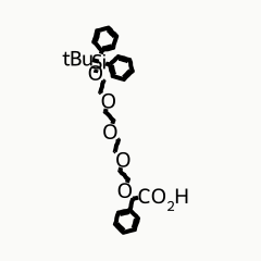 CC(C)(C)[Si](OCCOCCOCCOCCOC(C(=O)O)c1ccccc1)(c1ccccc1)c1ccccc1